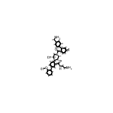 CCOc1ccccc1-c1ccc(N2CCN(C(=O)c3ccc(F)cc3-c3ccc(CN)cc3)C[C@H]2CC)c(C(=O)NCCN)c1